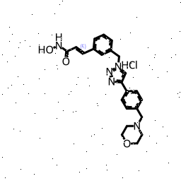 Cl.O=C(/C=C/c1cccc(Cn2cc(-c3ccc(CN4CCOCC4)cc3)nn2)c1)NO